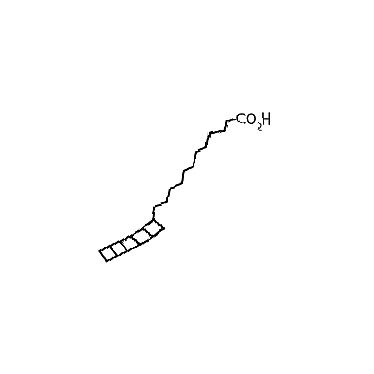 O=C(O)CCCCCCCCCCCC1CC2C1C1C3C4CCC4C3C21